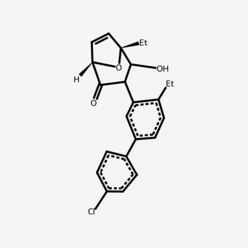 CCc1ccc(-c2ccc(Cl)cc2)cc1C1C(=O)[C@@H]2C=C[C@@](CC)(O2)C1O